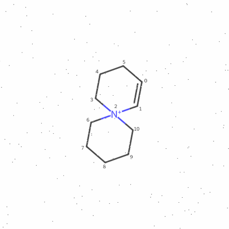 C1=C[N+]2(CCC1)CCCCC2